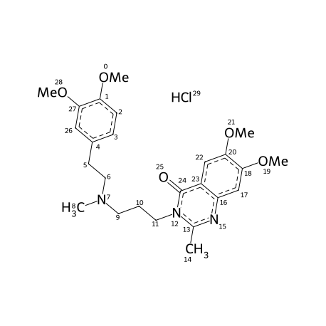 COc1ccc(CCN(C)CCCn2c(C)nc3cc(OC)c(OC)cc3c2=O)cc1OC.Cl